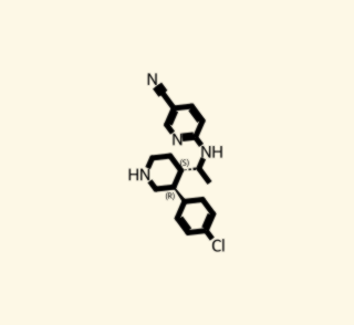 CC(Nc1ccc(C#N)cn1)[C@H]1CCNC[C@@H]1C1C=CC(Cl)=CC1